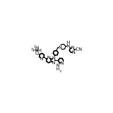 [2H]C([2H])([2H])Oc1ccc(-c2ccc3nc(-c4cccnc4N)n(-c4ccc(CN5CCC(Nc6ccnc(C#N)n6)CC5)cc4)c3n2)nc1